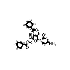 Nc1ccn([C@@H]2O[C@@](COC(=O)c3ccccc3)(OF)[C@@H](OC(=O)c3ccccc3)[C@H]2F)c(=O)n1